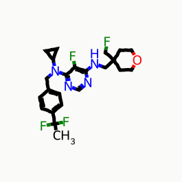 CC(F)(F)c1ccc(CN(c2ncnc(NCC3(CF)CCOCC3)c2F)C2CC2)cc1